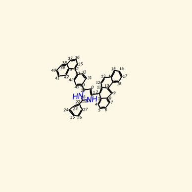 C1=C(c2c3ccccc3cc3c2ccc2ccccc23)NC(c2ccccc2)NC1c1ccc(-c2cccc3ccccc23)cc1